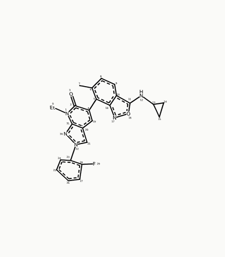 CCn1c(=O)c(-c2c(C)ccc3c(NC4CC4)onc23)cc2cn(-c3ccccc3F)nc21